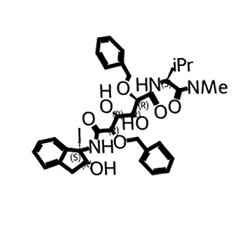 CNC(=O)[C@@H](NC(=O)[C@H](OCc1ccccc1)[C@H](O)[C@@H](O)[C@@H](OCc1ccccc1)C(=O)N[C@]1(I)c2ccccc2C[C@H]1O)C(C)C